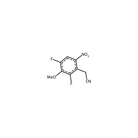 COc1c(F)cc([N+](=O)[O-])c(CC#N)c1F